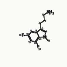 Cn1cc(CCCN)c2cc(F)cc(F)c21